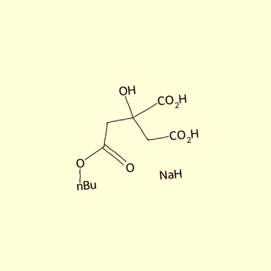 [CH2]CCCOC(=O)CC(O)(CC(=O)O)C(=O)O.[NaH]